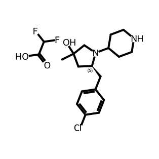 CC1(O)C[C@H](Cc2ccc(Cl)cc2)N(C2CCNCC2)C1.O=C(O)C(F)F